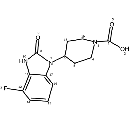 O=C(O)N1CCC(n2c(=O)[nH]c3c(F)cccc32)CC1